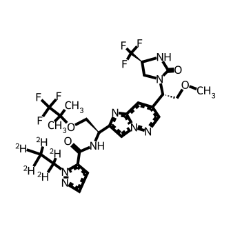 [2H]C([2H])([2H])C([2H])([2H])n1nccc1C(=O)N[C@@H](COC(C)(C)C(F)(F)F)c1cn2ncc([C@@H](COC)N3C[C@@H](C(F)(F)F)NC3=O)cc2n1